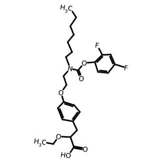 CCCCCCCN(CCOc1ccc(CC(OCC)C(=O)O)cc1)C(=O)Oc1ccc(F)cc1F